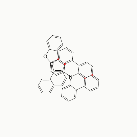 c1ccc(-c2ccccc2N(c2ccc3oc4ccccc4c3c2)c2ccccc2-c2cccc3oc4c5ccccc5ccc4c23)cc1